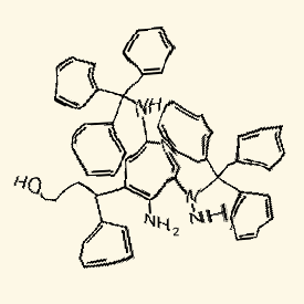 Nc1c(C(CCO)c2ccccc2)cc(NC(c2ccccc2)(c2ccccc2)c2ccccc2)nc1N(N)C(c1ccccc1)(c1ccccc1)c1ccccc1